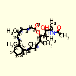 CC(=O)N[C@H](C)[C@@H](O)[C@@H](C)[C@@H]1OC(=O)/C=C/C=C(C)\C=C\[C@]2(C)CCCC[C@@H]2/C=C(C)/C=C/[C@H]1C